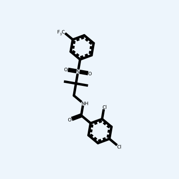 CC(C)(CNC(=O)c1ccc(Cl)cc1Cl)S(=O)(=O)c1cccc(C(F)(F)F)c1